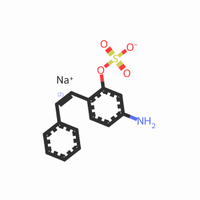 Nc1ccc(/C=C\c2ccccc2)c(OS(=O)(=O)[O-])c1.[Na+]